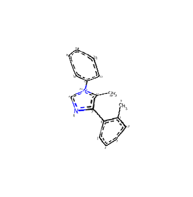 Cc1ccccc1-c1ncn(-c2ccccc2)c1C